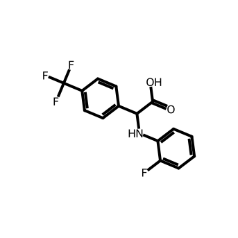 O=C(O)C(Nc1ccccc1F)c1ccc(C(F)(F)F)cc1